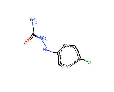 NC(=O)NNc1ccc(Cl)cc1